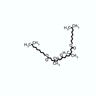 CC(C)CCCCCCCOC(=O)CCC(C)(C)CCCC(=O)CCCC(C)(C)CCC(=O)OCCCCCCCC(C)C